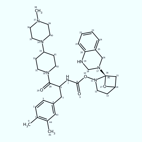 Cc1ccc(CC(NC(=O)ON2CCC3C[C@]2(N2CNc4ccccc4C2)O3)C(=O)N2CCC(N3CCN(C)CC3)CC2)cc1C